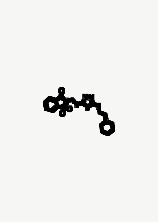 O=C1c2ccccc2S(=O)(=O)N1CSc1nnc(SCCN2CCCCC2)s1